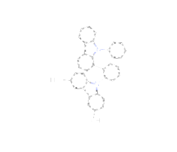 Cc1ccc2c(c1)c1cc(C)ccc1n2-c1ccccc1-c1cccc2c3ccccc3n(-c3ccccc3)c12